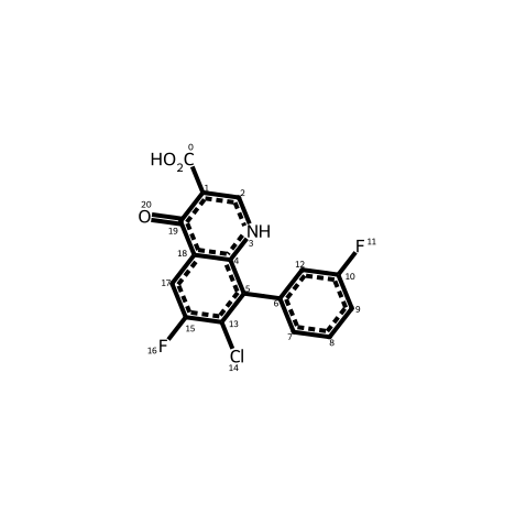 O=C(O)c1c[nH]c2c(-c3cccc(F)c3)c(Cl)c(F)cc2c1=O